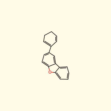 C1=CC(c2ccc3oc4ccccc4c3c2)=CCC1